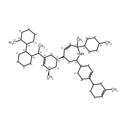 CC1=CCCC(C2=CCC(C3CC([C@@H]4CC(C(C)C5CCCCC5C5CCCCC5C)=C[C@H](C)C4)C=CC(C)(C4CCC(C)CC4)N3)CC2)C1